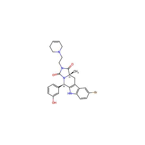 C[C@@]12Cc3c([nH]c4ccc(Br)cc34)[C@@H](c3cccc(O)c3)N1C(=O)N(CCN1CC=CCC1)C2=O